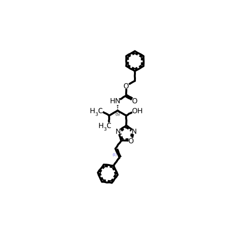 CC(C)[C@H](NC(=O)OCc1ccccc1)C(O)c1noc(/C=C/c2ccccc2)n1